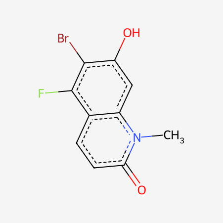 Cn1c(=O)ccc2c(F)c(Br)c(O)cc21